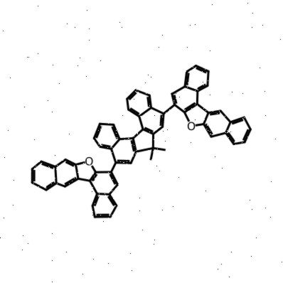 CC1(C)c2cc(-c3cc4ccccc4c4c3oc3cc5ccccc5cc34)c3ccccc3c2-c2c1cc(-c1cc3ccccc3c3c1oc1cc4ccccc4cc13)c1ccccc21